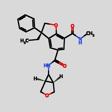 CC[C@@]1(c2ccccc2)COc2c(C(=O)NC)cc(C(=O)NC3[C@H]4COC[C@@H]34)cc21